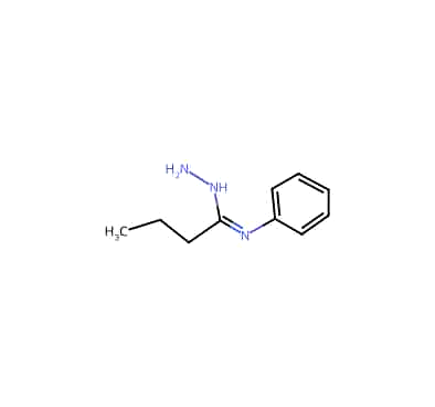 CCCC(=Nc1ccccc1)NN